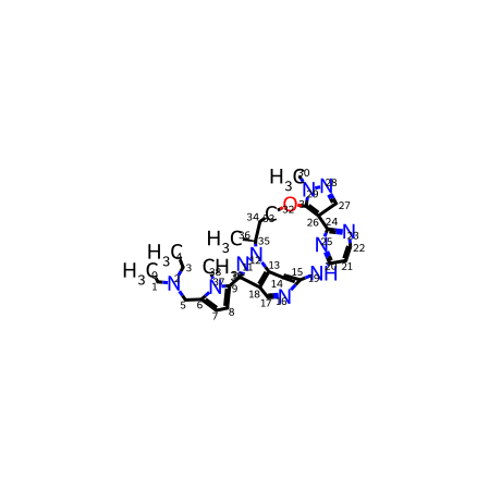 CCN(CC)Cc1ccc(-c2nn3c4cc(ncc24)Nc2ccnc(n2)-c2cnn(C)c2OCC[C@@H]3C)n1C